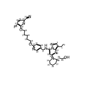 CCc1cnn2c(NCc3ccc(OCCCCCOc4nc(C#N)ccc4F)nc3)cc(N3CCCC[C@H]3CCO)nc12